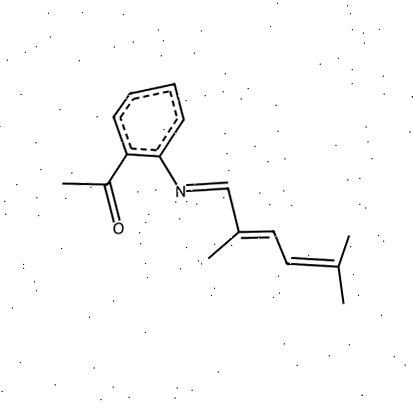 CC(=O)c1ccccc1/N=C/C(C)=C/C=C(C)C